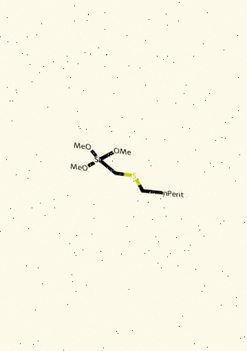 CCCCCCSC[Si](OC)(OC)OC